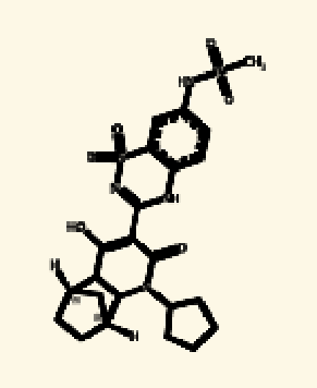 CS(=O)(=O)Nc1ccc2c(c1)S(=O)(=O)N=C(C1=C(O)C3C([C@@H]4CC[C@H]3C4)N(C3CCCC3)C1=O)N2